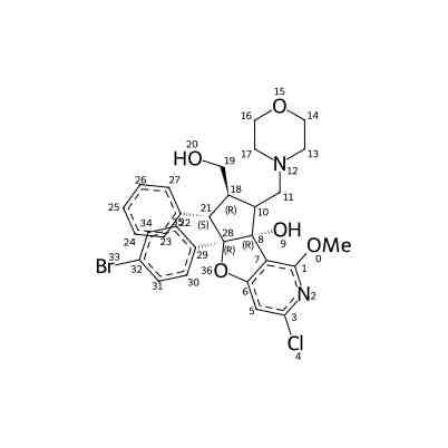 COc1nc(Cl)cc2c1[C@]1(O)C(CN3CCOCC3)[C@H](CO)[C@@H](c3ccccc3)[C@]1(c1ccc(Br)cc1)O2